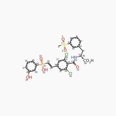 CS(=O)(=O)c1cccc(C[C@H](NC(=O)c2c(Cl)cc(C=CP(=O)(O)c3cccc(O)c3)cc2Cl)C(=O)O)c1